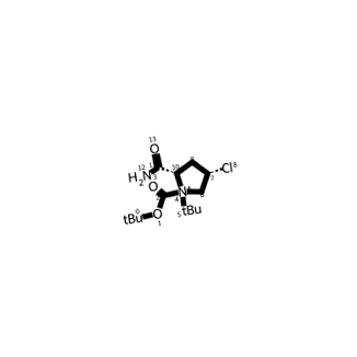 CC(C)(C)OC(=O)[N+]1(C(C)(C)C)C[C@@H](Cl)C[C@H]1C(N)=O